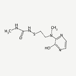 CNC(=O)NSCCN(C)c1nccnc1O